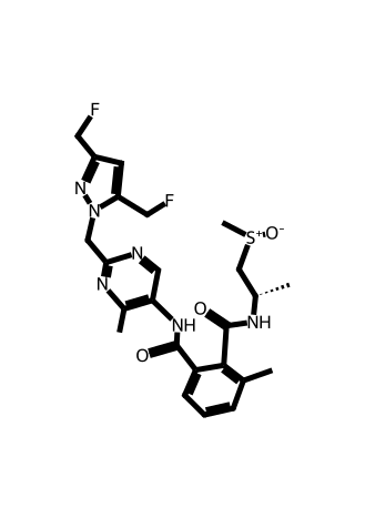 Cc1cccc(C(=O)Nc2cnc(Cn3nc(CF)cc3CF)nc2C)c1C(=O)N[C@@H](C)C[S+](C)[O-]